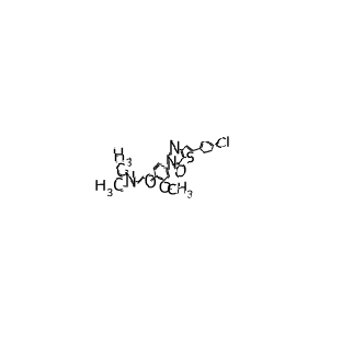 CCN(CC)CCOc1ccc(-n2cnc3cc(-c4ccc(Cl)cc4)sc3c2=O)cc1OC